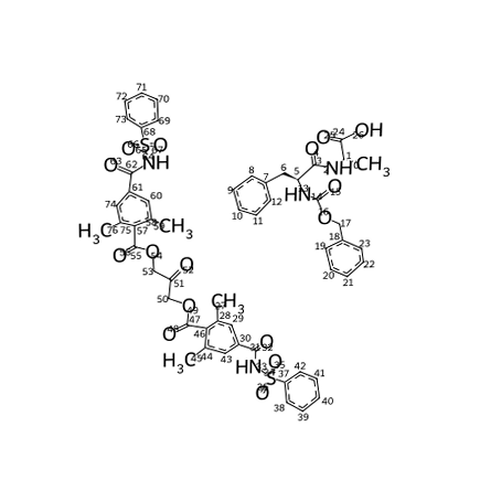 C[C@H](NC(=O)[C@H](Cc1ccccc1)NC(=O)OCc1ccccc1)C(=O)O.Cc1cc(C(=O)NS(=O)(=O)c2ccccc2)cc(C)c1C(=O)OCC(=O)COC(=O)c1c(C)cc(C(=O)NS(=O)(=O)c2ccccc2)cc1C